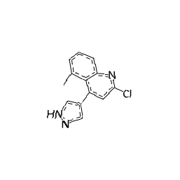 Cc1cccc2nc(Cl)cc(-c3cn[nH]c3)c12